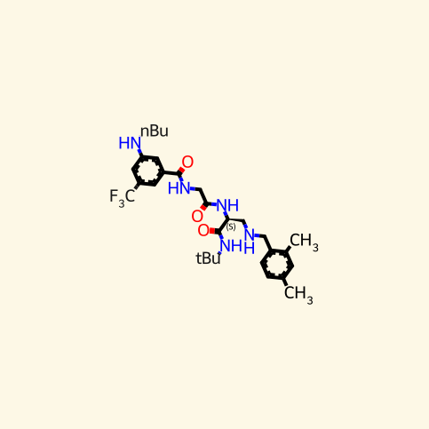 CCCCNc1cc(C(=O)NCC(=O)N[C@@H](CNCc2ccc(C)cc2C)C(=O)NC(C)(C)C)cc(C(F)(F)F)c1